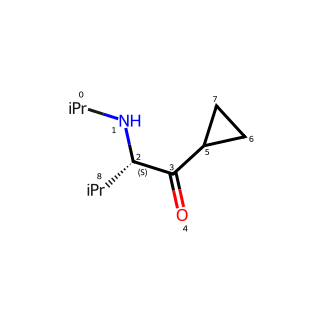 CC(C)N[C@H](C(=O)C1CC1)C(C)C